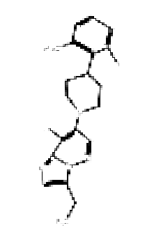 COc1cccc(F)c1C1CCN(c2cnn3c(CC(F)(F)F)nnc3c2Cl)CC1